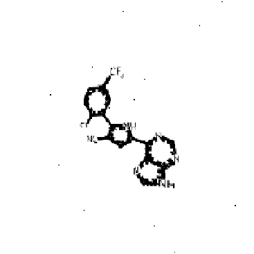 N#Cc1cc(-c2ncnc3[nH]cnc23)[nH]c1-c1cc(C(F)(F)F)ccc1Cl